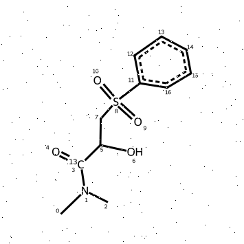 CN(C)[13C](=O)C(O)CS(=O)(=O)c1ccccc1